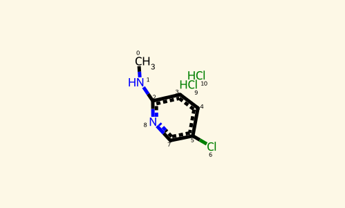 CNc1ccc(Cl)cn1.Cl.Cl